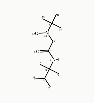 CC(C)C(C)(C)NC(=O)CN([O])C(C)(C)C